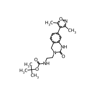 Cc1noc(C)c1-c1ccc2c(c1)NC(=O)N(CCNC(=O)OC(C)(C)C)C2